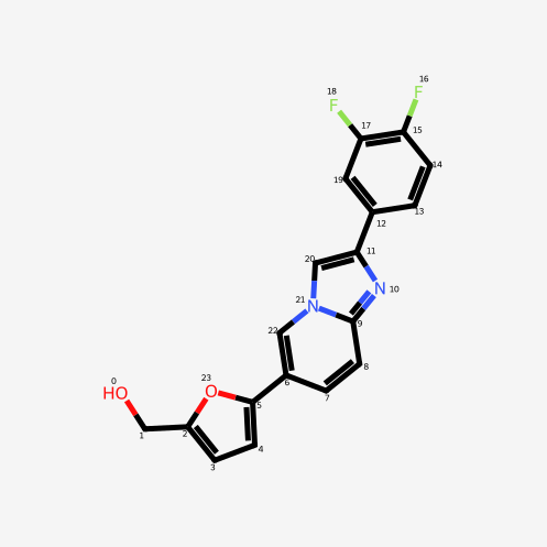 OCc1ccc(-c2ccc3nc(-c4ccc(F)c(F)c4)cn3c2)o1